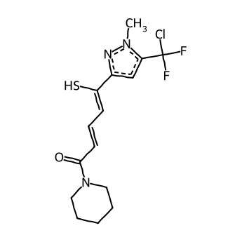 Cn1nc(/C(S)=C/C=C/C(=O)N2CCCCC2)cc1C(F)(F)Cl